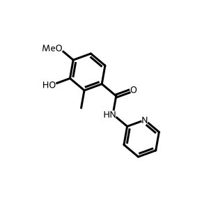 COc1ccc(C(=O)Nc2ccccn2)c(C)c1O